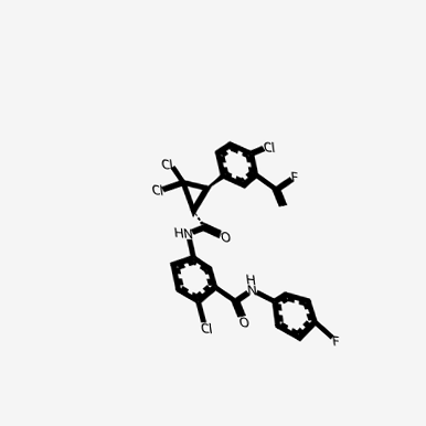 C=C(F)c1cc([C@H]2[C@H](C(=O)Nc3ccc(Cl)c(C(=O)Nc4ccc(F)cc4)c3)C2(Cl)Cl)ccc1Cl